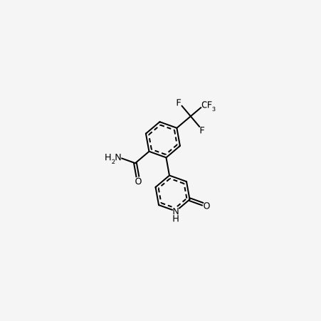 NC(=O)c1ccc(C(F)(F)C(F)(F)F)cc1-c1cc[nH]c(=O)c1